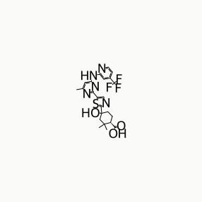 Cc1cc(Nc2cc(C(F)(F)F)ccn2)nc(-c2cnc([C@]3(O)CC[C@@H](C(=O)O)C(C)(C)C3)s2)n1